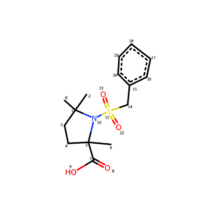 CC1(C)CCC(C)(C(=O)O)N1S(=O)(=O)Cc1ccccc1